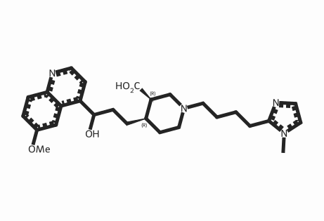 COc1ccc2nccc(C(O)CC[C@@H]3CCN(CCCCc4nccn4C)C[C@@H]3C(=O)O)c2c1